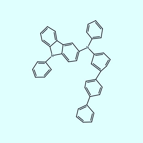 c1ccc(-c2ccc(-c3cccc(N(c4ccccc4)c4ccc5c(c4)c4ccccc4n5-c4ccccc4)c3)cc2)cc1